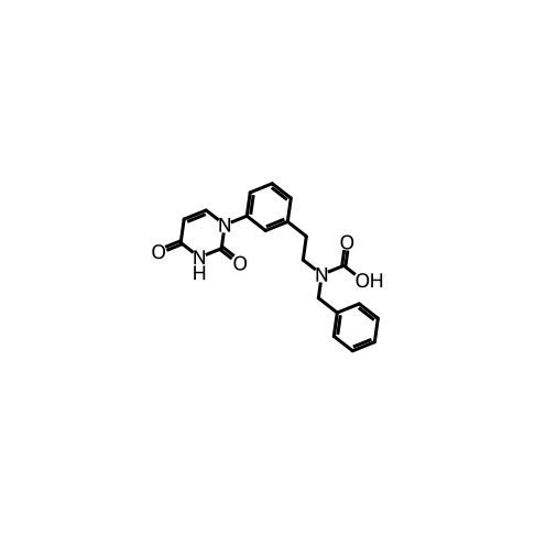 O=C(O)N(CCc1cccc(-n2ccc(=O)[nH]c2=O)c1)Cc1ccccc1